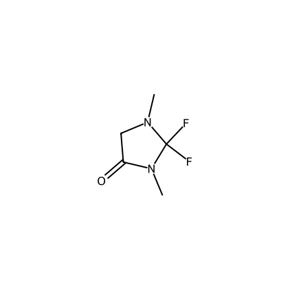 CN1CC(=O)N(C)C1(F)F